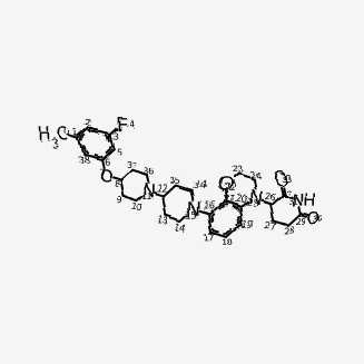 Cc1cc(F)cc(OC2CCN(C3CCN(c4cccc5c4OCCN5C4CCC(=O)NC4=O)CC3)CC2)c1